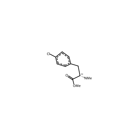 CN[C@@H](Cc1ccc(Cl)cc1)C(=O)OC